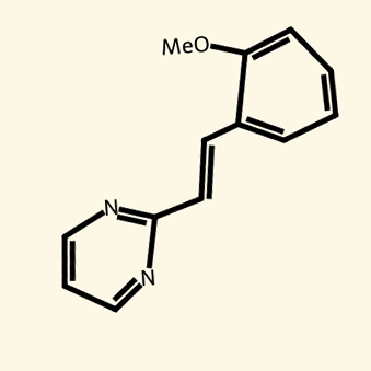 COc1ccccc1C=Cc1ncccn1